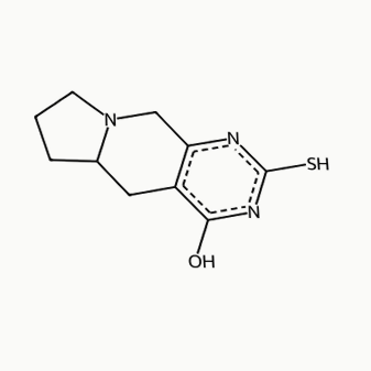 Oc1nc(S)nc2c1CC1CCCN1C2